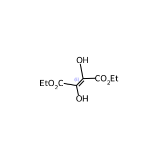 CCOC(=O)/C(O)=C(\O)C(=O)OCC